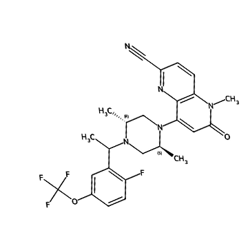 CC(c1cc(OC(F)(F)F)ccc1F)N1C[C@H](C)N(c2cc(=O)n(C)c3ccc(C#N)nc23)C[C@H]1C